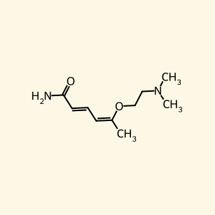 C/C(=C/C=C/C(N)=O)OCCN(C)C